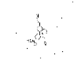 N#CCCC1CCC(C2(C3(CCC#N)CCCCC3)C=CC(C(=O)O)C=C2)CC1